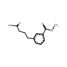 COC(=O)c1cccc(CCCC(=O)O)c1